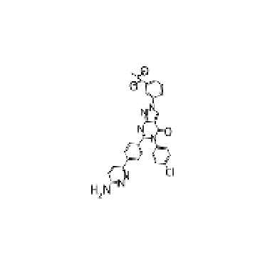 CS(=O)(=O)c1cccc(-n2cc3c(=O)n(-c4ccc(Cl)cc4)c(-c4ccc(-c5ccc(N)nn5)cc4)nc3n2)c1